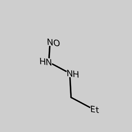 CCCNNN=O